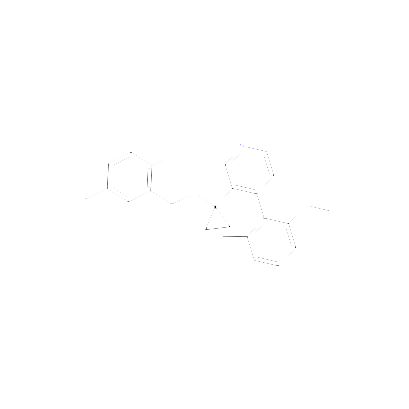 COc1cccc(C)c1-c1ccncc1C1(OCc2cc(Cl)ccc2Cl)CC1